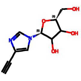 C#Cc1cn([C@@H]2O[C@H](CO)C(O)C2O)cn1